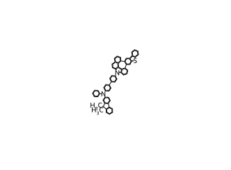 CC1(C)c2ccccc2-c2ccc(N(c3ccccc3)c3ccc(-c4ccc(-n5c6cccc7c6c6c8c(cccc8ccc65)-c5cc6c(cc5-7)sc5ccccc56)cc4)cc3)cc21